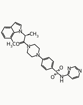 Cc1cccc2ccn([C@@H](C)C(=O)N3CCN(c4ccc(S(=O)(=O)Nc5ccncn5)cc4)CC3)c12